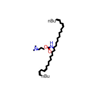 CCCC/C=C\C/C=C\CCCCCCCCC(CCCCCCCC/C=C\C/C=C\CCCC)NC(=O)OCCCN(C)C